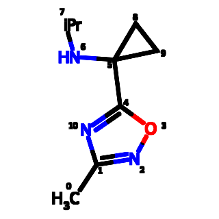 Cc1noc(C2(NC(C)C)CC2)n1